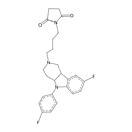 O=C1CCC(=O)N1CCCCN1CCC2C(C1)c1cc(F)ccc1N2c1ccc(F)cc1